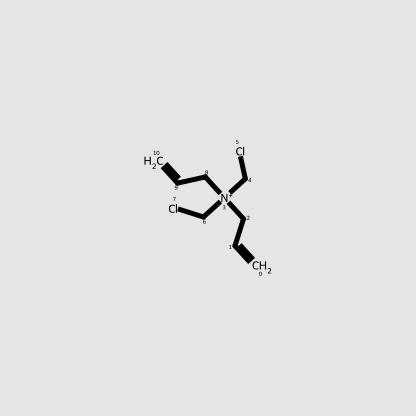 C=CC[N+](CCl)(CCl)CC=C